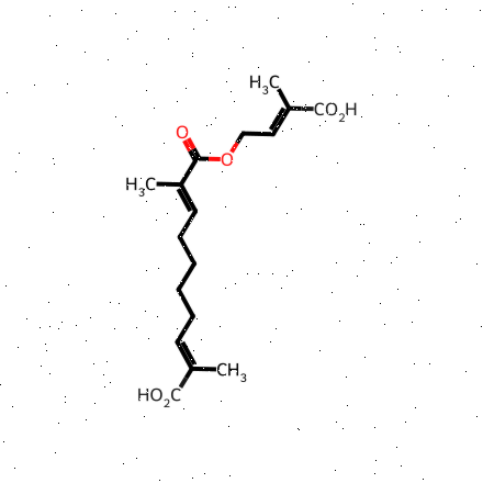 CC(=CCCCCC=C(C)C(=O)OCC=C(C)C(=O)O)C(=O)O